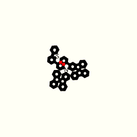 c1ccc(-c2cc3c(cc2N(c2ccc(-c4cccc5c4sc4ccccc45)cc2)c2ccc4c(c2)C2(c5ccccc5-c5ccccc52)c2ccccc2-4)C2(c4ccccc4-c4ccccc42)c2ccccc2-3)cc1